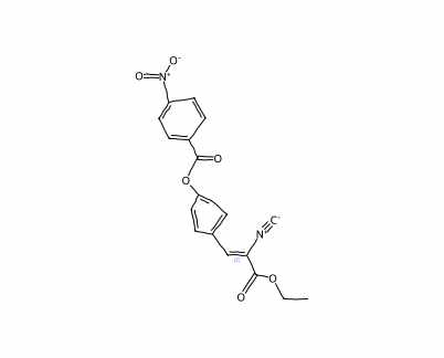 [C-]#[N+]/C(=C\c1ccc(OC(=O)c2ccc([N+](=O)[O-])cc2)cc1)C(=O)OCC